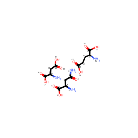 NC(=O)CC(N)C(=O)O.NC(CC(=O)O)C(=O)O.NC(CCC(=O)O)C(=O)O